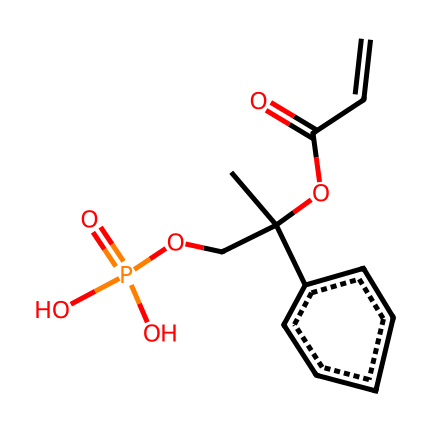 C=CC(=O)OC(C)(COP(=O)(O)O)c1ccccc1